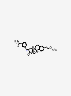 CCCCOCCc1ccc2c(c1)CC[C@@H]1[C@@H]2CC[C@]2(C)C(=O)/C(=C/c3cccc(C(N)=O)c3)C[C@@H]12